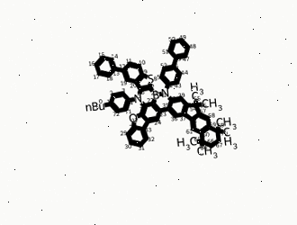 CCCCc1ccc(N2c3c(sc4ccc(-c5ccccc5)cc34)B3c4c(cc5c(oc6ccccc65)c42)-c2cc4c(cc2N3c2ccc(-c3ccccc3)cc2)C(C)(C)c2cc3c(cc2-4)C(C)(C)CCC3(C)C)cc1